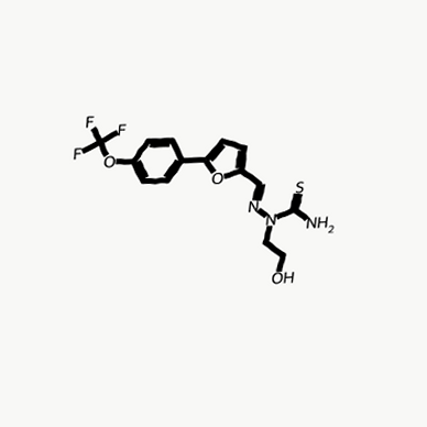 NC(=S)N(CCO)N=Cc1ccc(-c2ccc(OC(F)(F)F)cc2)o1